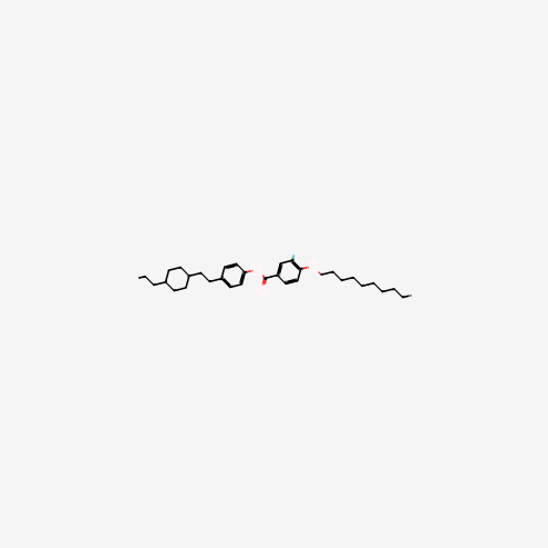 CCCCCCCCCCOc1ccc(C(=O)Oc2ccc(CCC3CCC(CCC)CC3)cc2)cc1F